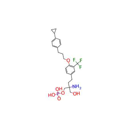 NC(CO)(CCc1ccc(OCCCc2ccc(C3CC3)cc2)c(C(F)(F)F)c1)COP(=O)(O)O